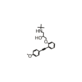 COc1ccc(C#Cc2ccccc2OCC(O)CNC(C)(C)C)cc1